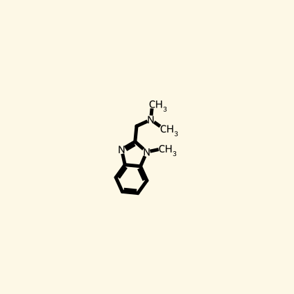 CN(C)Cc1nc2ccccc2n1C